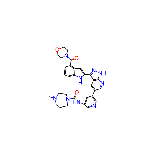 CN1CCCN(C(=O)Nc2cncc(-c3cnc4[nH]nc(-c5cc6c(C(=O)N7CCOCC7)cccc6[nH]5)c4c3)c2)CC1